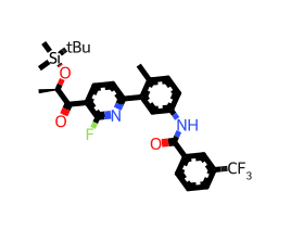 Cc1ccc(NC(=O)c2cccc(C(F)(F)F)c2)cc1-c1ccc(C(=O)[C@@H](C)O[Si](C)(C)C(C)(C)C)c(F)n1